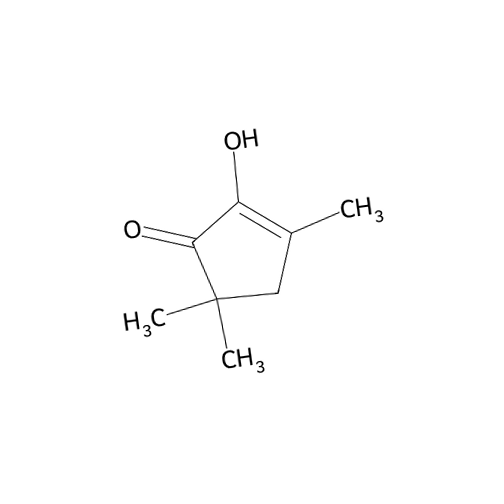 CC1=C(O)C(=O)C(C)(C)C1